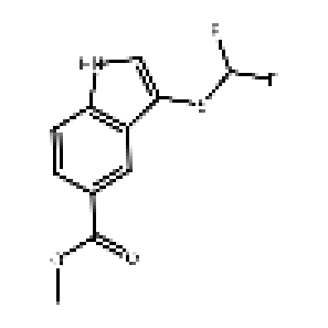 COC(=O)c1ccc2[nH]cc(SC(F)F)c2c1